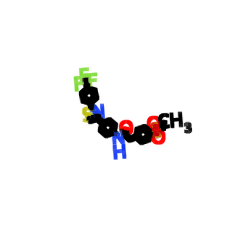 CCS(=O)(=O)c1ccc(CC(=O)Nc2ccc(-c3csc(-c4ccc(C(F)(F)F)cc4)n3)cc2)cc1